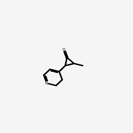 CC1C(=O)C1C1=CC=NCC1